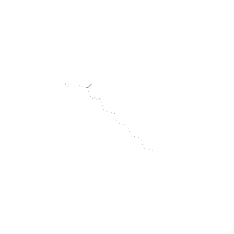 COC(=O)C=CCCCCCCCC(=O)O